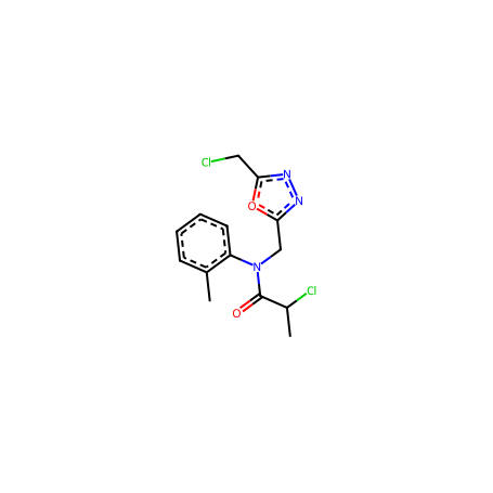 Cc1ccccc1N(Cc1nnc(CCl)o1)C(=O)C(C)Cl